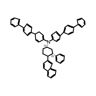 C1=CC(c2ccc(-c3ccccc3)cc2)CC=C1N(c1ccc(-c2ccc(-c3ccccc3)cc2)cc1)[C@H]1CCC(c2ccc3ccccc3c2)[C@@H](c2ccccc2)C1